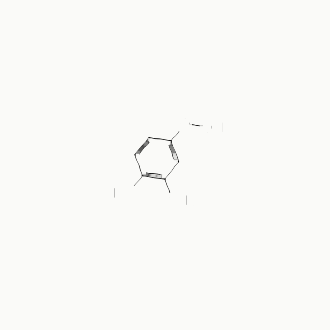 Cc1ccc(OO)cc1C